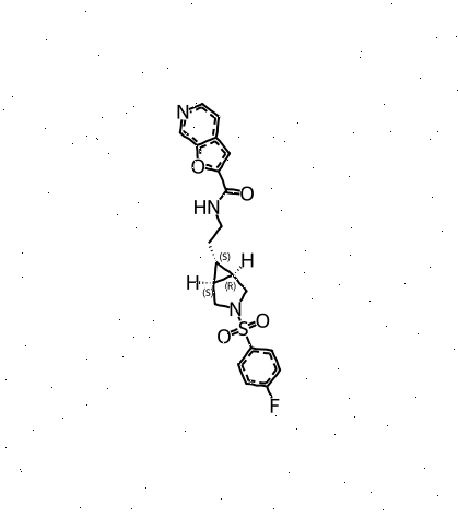 O=C(NCC[C@@H]1[C@H]2CN(S(=O)(=O)c3ccc(F)cc3)C[C@@H]12)c1cc2ccncc2o1